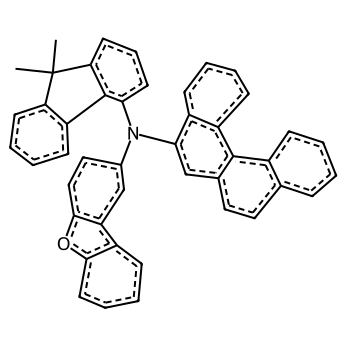 CC1(C)c2ccccc2-c2c(N(c3ccc4oc5ccccc5c4c3)c3cc4ccc5ccccc5c4c4ccccc34)cccc21